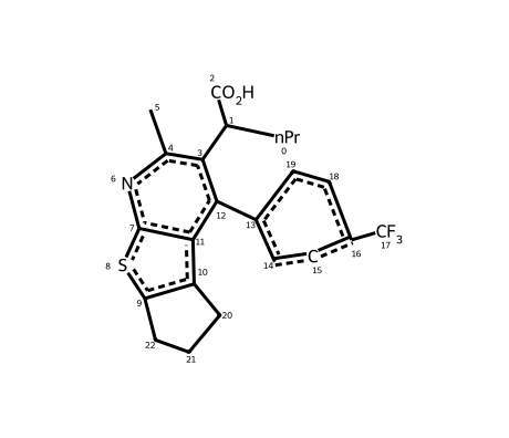 CCCC(C(=O)O)c1c(C)nc2sc3c(c2c1-c1ccc(C(F)(F)F)cc1)CCC3